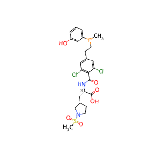 CP(CCc1cc(Cl)c(C(=O)N[C@@H](CC2CCN(S(C)(=O)=O)C2)C(=O)O)c(Cl)c1)c1cccc(O)c1